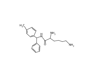 Cc1ccc(C(NC(=O)C(N)CCCCN)c2ccccc2)cc1